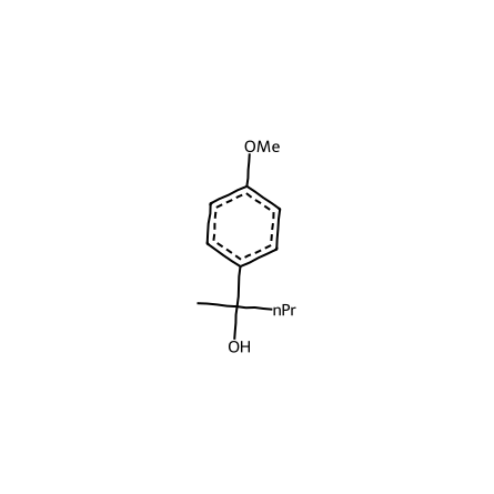 CCCC(C)(O)c1ccc(OC)cc1